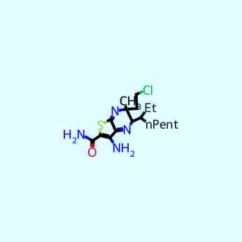 CCCCCC(CC)C1N=c2c(N)c(C(N)=O)sc2=NC1(C)CCCl